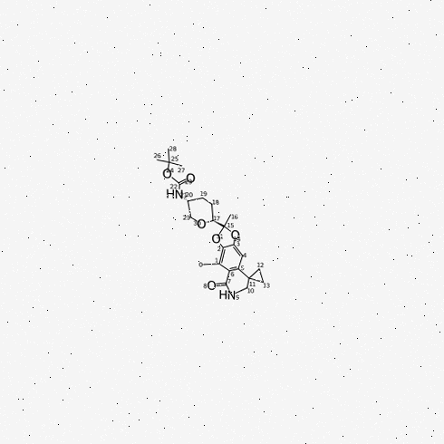 Cc1c2c(cc3c1C(=O)NCC31CC1)OC(C)([C@@H]1CC[C@@H](NC(=O)OC(C)(C)C)CO1)O2